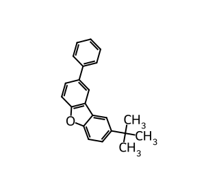 CC(C)(C)c1ccc2oc3ccc(-c4ccccc4)cc3c2c1